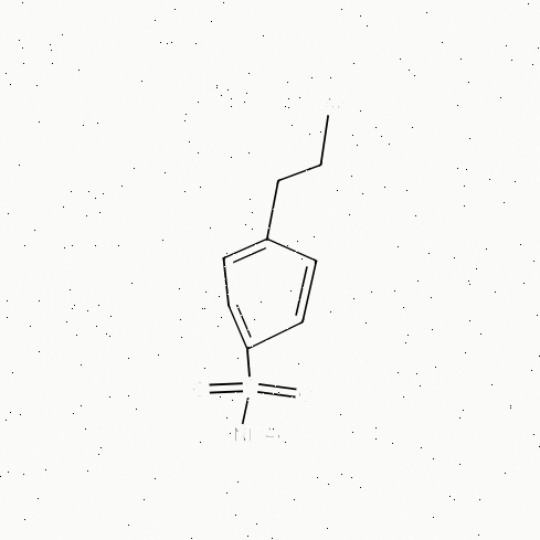 CC(=O)CCc1ccc(S(=O)(=O)NC(C)=O)cc1